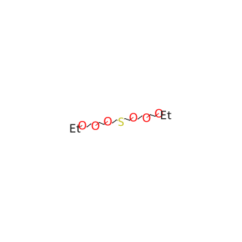 [CH2]COCCOCCOCCSCCOCCOCCOC[CH2]